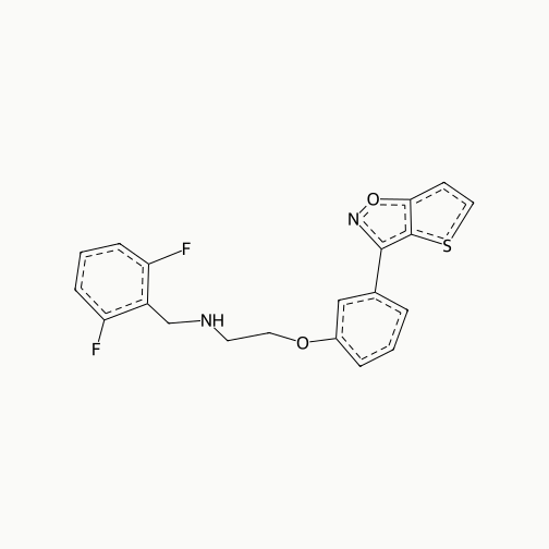 Fc1cccc(F)c1CNCCOc1cccc(-c2noc3ccsc23)c1